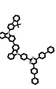 CC1(C)c2ccccc2-c2ccc(-n3c4ccccc4c4cc(-c5ccc6c(c5)c5ccccc5n6-c5ccc(-c6nc(-c7ccc(-c8ccccc8)cc7)cc(-c7ccc(-c8ccccc8)cc7)n6)cc5)ccc43)cc21